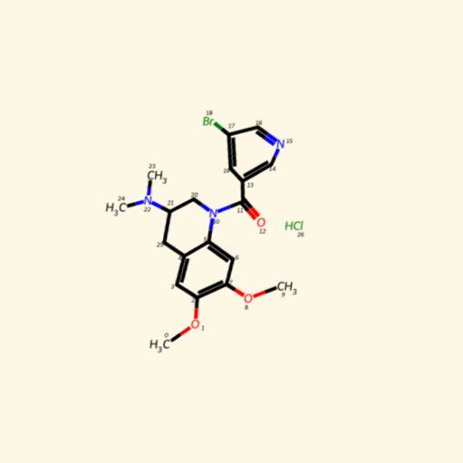 COc1cc2c(cc1OC)N(C(=O)c1cncc(Br)c1)CC(N(C)C)C2.Cl